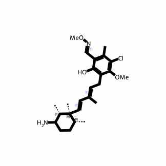 CO/N=C/c1c(C)c(Cl)c(OC)c(C/C=C(C)/C=C/[C@@]2(C)[C@H](C)CCC(N)[C@@H]2C)c1O